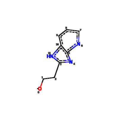 [O]CCc1nc2ncccc2[nH]1